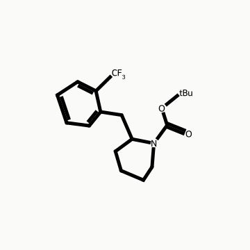 CC(C)(C)OC(=O)N1CCCCC1Cc1ccccc1C(F)(F)F